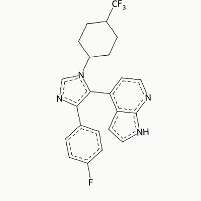 Fc1ccc(-c2ncn(C3CCC(C(F)(F)F)CC3)c2-c2ccnc3[nH]ccc23)cc1